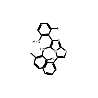 COc1cccc(F)c1-c1nc2scc(-c3ccccc3)n2c1Nc1c(C)cccc1Cl